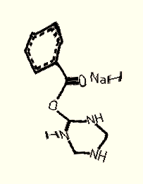 O=C(OC1NCNCN1)c1ccccc1.[NaH]